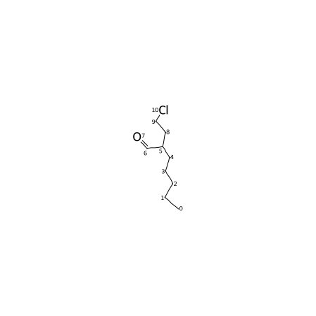 CCCCCC(C=O)CCCl